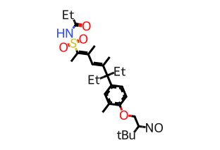 CCC(=O)NS(=O)(=O)/C(C)=C(C)/C=C(\C)C(CC)(CC)c1ccc(OCC(N=O)C(C)(C)C)c(C)c1